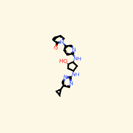 O=c1c#cccn1-c1ccc(N[C@H]2C[C@@H](Nc3ncc(C4CC4)cn3)C[C@H]2O)nc1